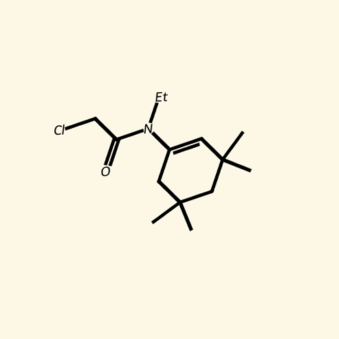 CCN(C(=O)CCl)C1=CC(C)(C)CC(C)(C)C1